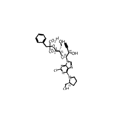 C#C[C@@H](O)[C@@H](O[C@@H](CO)COC(Cc1ccccc1)(C(=O)O)C(=O)O)n1cnc2c(N3CCC[C@H]3CO)nc(Cl)nc21